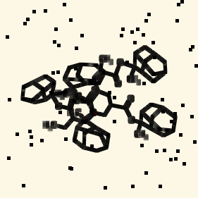 CCC(CC(CC(CC(CC(C)C(=O)OC1(C)C2CC3CC(C2)CC1C3)C(=O)OC1(C)C2CC3CC(C2)CC1C3)C(=O)OC1(C)C2CC3CC(C2)CC1C3)C(=O)OC1(C)C2CC3CC(C2)CC1C3)C(=O)OC1(C)C2CC3CC(C2)CC1C3